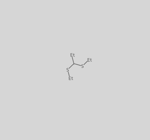 CCS[C](CC)SCC